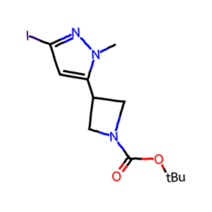 Cn1nc(I)cc1C1CN(C(=O)OC(C)(C)C)C1